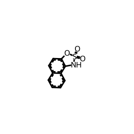 O=S1(=O)Nc2c(ccc3ccccc23)O1